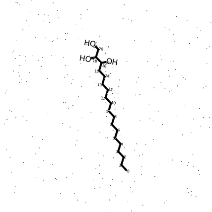 CCCCCCCCCCCCCCCCC(O)C(O)CO